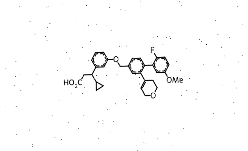 COc1ccc(F)c(-c2ccc(COc3cccc(C(CC(=O)O)C4CC4)c3)cc2C2=CCOCC2)c1